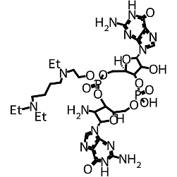 CCN(CC)CCCCN(CC)CCOP1(=O)OC[C@H]2O[C@@H](n3cnc4c(=O)[nH]c(N)nc43)C(O)C2OP(=O)(O)OC[C@H]2O[C@@H](n3cnc4c(=O)[nH]c(N)nc43)C(N)C2O1